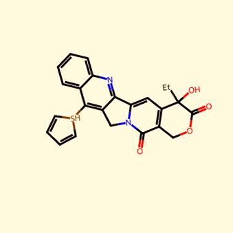 CCC1(O)C(=O)OCc2c1cc1n(c2=O)Cc2c-1nc1ccccc1c2[SH]1C=CC=C1